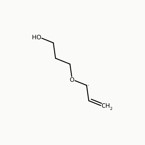 C=C[CH]OCCCO